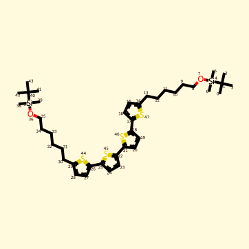 CC(C)(C)[Si](C)(C)OCCCCCCc1ccc(-c2ccc(-c3ccc(-c4ccc(CCCCCCO[Si](C)(C)C(C)(C)C)s4)s3)s2)s1